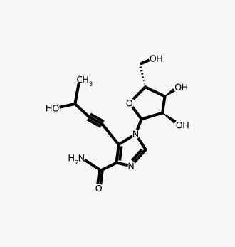 CC(O)C#Cc1c(C(N)=O)ncn1C1O[C@H](CO)[C@@H](O)[C@H]1O